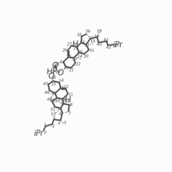 CC(C)CCC[C@@H](C)[C@H]1CCC2[C@@H]3CC=C4C[C@@H](O[PH](=O)O[C@H]5CC[C@@]6(C)C(=CC[C@@H]7C6CC[C@@]6(C)C7CC[C@@H]6[C@H](C)CCCC(C)C)C5)CC[C@]4(C)C3CC[C@@]21C